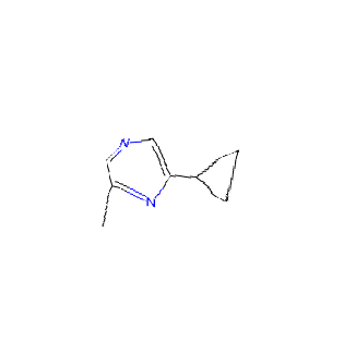 Cc1cncc(C2CC2)n1